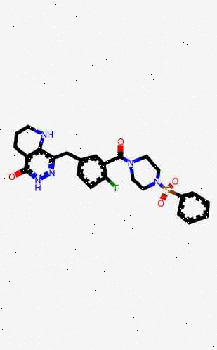 O=C(c1cc(Cc2n[nH]c(=O)c3c2NCCC3)ccc1F)N1CCN(S(=O)(=O)c2ccccc2)CC1